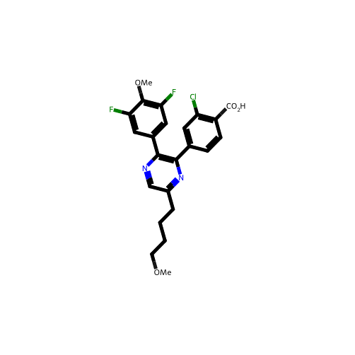 COCCCCc1cnc(-c2cc(F)c(OC)c(F)c2)c(-c2ccc(C(=O)O)c(Cl)c2)n1